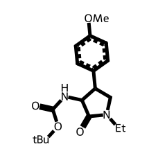 CCN1CC(c2ccc(OC)cc2)C(NC(=O)OC(C)(C)C)C1=O